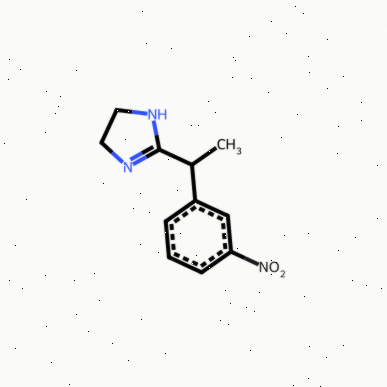 CC(C1=NCCN1)c1cccc([N+](=O)[O-])c1